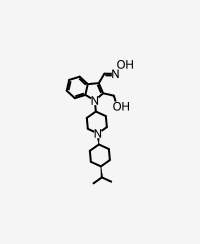 CC(C)[C@H]1CC[C@@H](N2CCC(n3c(CO)c(/C=N/O)c4ccccc43)CC2)CC1